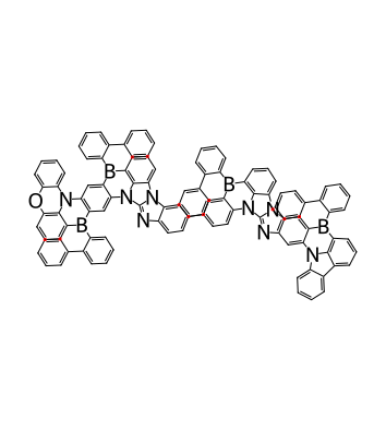 c1ccc(-c2ccccc2B2c3cc4c(cc3N3c5ccccc5Oc5cccc2c53)B(c2ccccc2-c2ccccc2)c2cccc3c2n-4c2nc4ccc(-c5ccc6c(c5)B(c5ccccc5-c5ccccc5)c5cccc7c5n-6c5nc6cc8c(cc6n75)B(c5ccccc5-c5ccccc5)c5cccc6c7ccccc7n-8c56)cc4n32)cc1